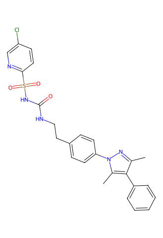 Cc1nn(-c2ccc(CCNC(=O)NS(=O)(=O)c3ccc(Cl)cn3)cc2)c(C)c1-c1ccccc1